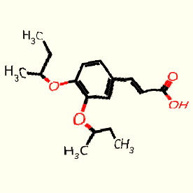 CCC(C)Oc1ccc(C=CC(=O)O)cc1OC(C)CC